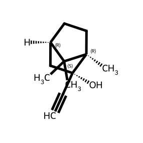 C#C[C@@]1(O)C[C@H]2CC[C@]1(C)C2(C)C